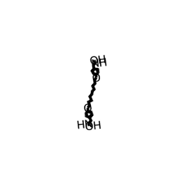 ONCc1ccc(OCCCCCCCCCCOc2ccc(CNO)cc2)cc1